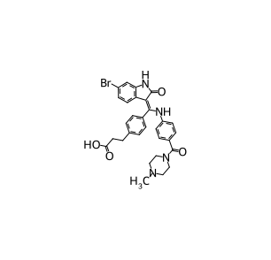 CN1CCN(C(=O)c2ccc(N/C(=C3\C(=O)Nc4cc(Br)ccc43)c3ccc(CCC(=O)O)cc3)cc2)CC1